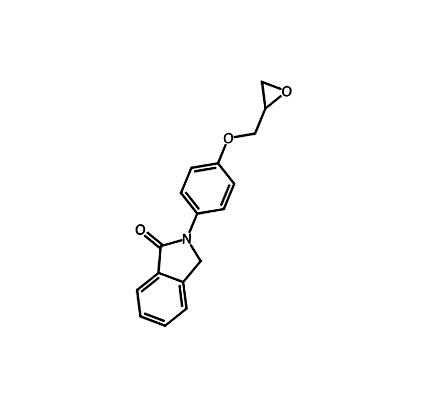 O=C1c2ccccc2CN1c1ccc(OCC2CO2)cc1